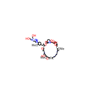 CO[C@H]1C[C@@H]2CC[C@@H](C)[C@@](O)(O2)C(=O)C(=O)N2CCCC[C@H]2C(=O)O[C@H]([C@H](C)C[C@@H]2CC[C@H](n3cc(CN(CCO)CCO)nn3)[C@H](OC)C2)CC(=O)[C@H](C)/C=C(\C)[C@@H](O)[C@@H](OC)C(=O)[C@H](C)C[C@H](C)/C=C/C=C/C=C/1C